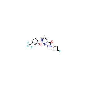 Cc1cc(C(=O)Nc2ccc(F)cc2)nc(Oc2cccc(C(F)(F)F)c2)n1